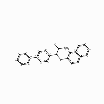 CC(N)C(Cc1ccc2ccccc2c1)c1ccc(-c2ccccc2)cc1